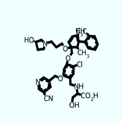 CC1=C(c2ccccc2C)C(C)C(COc2cc(OCc3cncc(C#N)c3)c(CNC(CO)C(=O)O)cc2Cl)(OCCCN2CC[C@@H](O)C2)C=C1